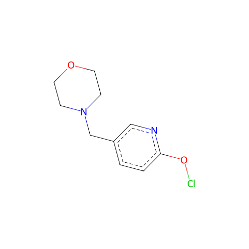 ClOc1ccc(CN2CCOCC2)cn1